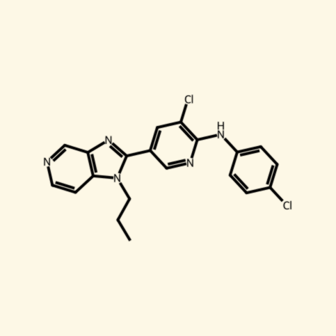 CCCn1c(-c2cnc(Nc3ccc(Cl)cc3)c(Cl)c2)nc2cnccc21